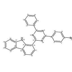 Brc1ccc(-c2nc(-c3ccccc3)nc(-c3cccc4c3[nH]c3ccccc34)n2)cc1